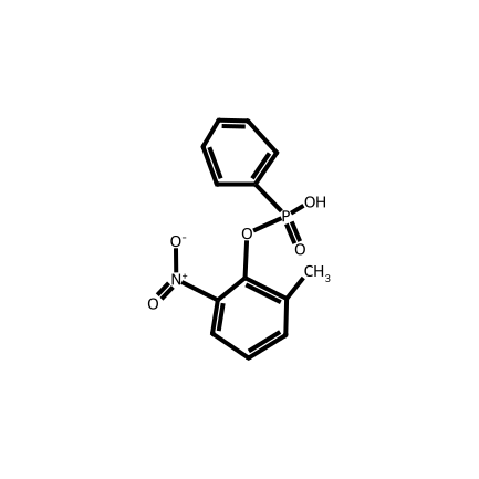 Cc1cccc([N+](=O)[O-])c1OP(=O)(O)c1ccccc1